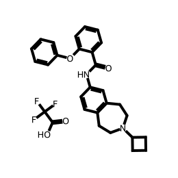 O=C(Nc1ccc2c(c1)CCN(C1CCC1)CC2)c1ccccc1Oc1ccccc1.O=C(O)C(F)(F)F